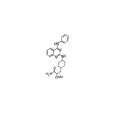 COC(CC1CCC(Nc2nc(Nc3ccccc3)c3ccccc3n2)CC1)C(N)=O